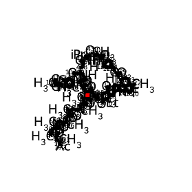 CC[C@H]1C(=O)OCc2c1cc1n(c2=O)Cc2c-1nc1cc(F)c(C)c3c1c2[C@@H](NC(=O)OCc1ccc(NC(=O)[C@H](C)NC(=O)[C@@H](NC(=O)CC[C@@H](NC(=O)CN(C)C(=O)CN(C)C(=O)CN(C)C(=O)CN(C)C(=O)CN(C)C(=O)CN(C)C(=O)CN(C)C(=O)CN(C)C(=O)CN(C)C(=O)CN(C)C(C)=O)C(=O)Nc2ccc4nc(S(C)(=O)=O)sc4c2)C(C)C)cc1)CC3